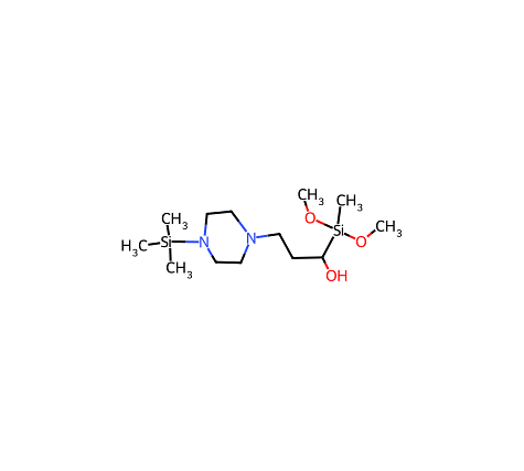 CO[Si](C)(OC)C(O)CCN1CCN([Si](C)(C)C)CC1